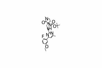 CCOc1ccc(F)c(-c2cc(C)nc(C#CC[C@@]3(NC(=O)OC(C)(C)C)CCN(C)C3=O)n2)c1